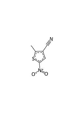 Cc1sc([N+](=O)[O-])cc1C#N